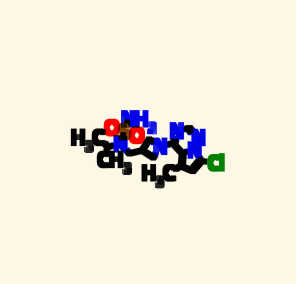 Cc1cc(Cl)n2ncnc(N3CC(CN(C(C)C)S(N)(=O)=O)C3)c12